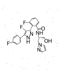 O=C(N[C@@H](CO)Cn1cccn1)c1cccc(F)c1-c1n[nH]c(-c2ccc(F)cc2)c1F